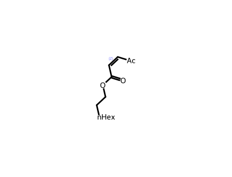 CCCCCCCCOC(=O)/C=C\C(C)=O